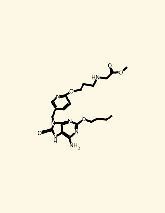 CCCCOc1nc(N)c2[nH]c(=O)n(Cc3ccc(OCCCNCC(=O)OC)nc3)c2n1